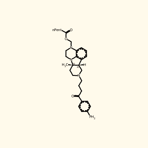 CCCCCC(=O)OCN1CCN2c3c(cccc31)[C@@H]1CN(CCCC(=O)c3ccc(P)cc3)CC[C@@]12C